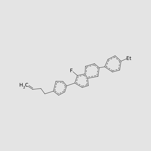 C=CCCc1ccc(-c2ccc3cc(-c4ccc(CC)cc4)ccc3c2F)cc1